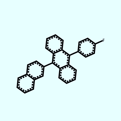 Fc1ccc(-c2c3ccccc3c(-c3ccc4ccccc4c3)c3ccccc23)cc1